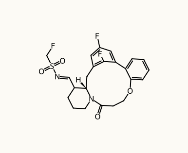 O=C1CCOc2ccccc2-c2cc(F)cc(c2F)C[C@H]2C(/C=N/S(=O)(=O)CF)CCCN12